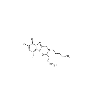 C=CCCCN(Cc1nc2c(F)c(F)cc(F)c2s1)C(=O)CCC(=O)O